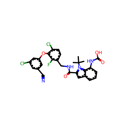 CC(C)(C)n1c(C(=O)NCc2ccc(Cl)c(Oc3cc(Cl)cc(C#N)c3)c2F)cc2cccc(NC(=O)O)c21